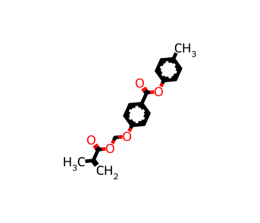 C=C(C)C(=O)OCOc1ccc(C(=O)Oc2ccc(C)cc2)cc1